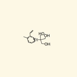 C=Cc1ccccc1C.CCC(CO)(CO)CO